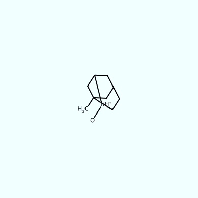 CC12CC3CC(CC(C3)[NH+]1[O-])C2